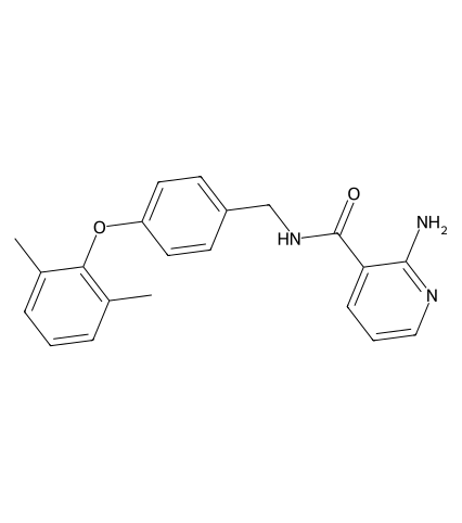 Cc1cccc(C)c1Oc1ccc(CNC(=O)c2cccnc2N)cc1